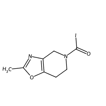 Cc1nc2c(o1)CCN(C(=O)I)C2